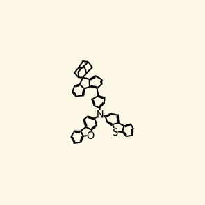 c1ccc2c(c1)-c1c(-c3ccc(N(c4ccc5c(c4)oc4ccccc45)c4ccc5c(c4)sc4ccccc45)cc3)cccc1C21C2CC3CC(C2)CC1C3